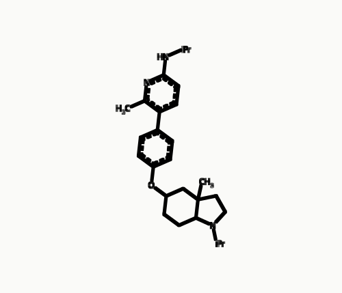 Cc1nc(NC(C)C)ccc1-c1ccc(OC2CCC3N(C(C)C)CCC3(C)C2)cc1